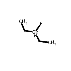 C[CH2][GeH]([F])[CH2]C